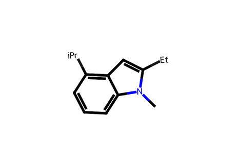 CCc1cc2c(C(C)C)cccc2n1C